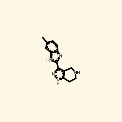 Cc1ccc2nc(-c3n[nH]c4c3CNCC4)[nH]c2c1